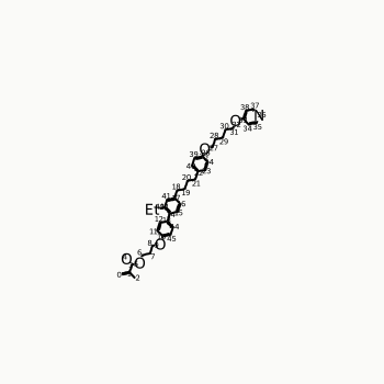 C=C(C)C(=O)OCCCOc1ccc(-c2ccc(CCCCc3ccc(OCCCCCOc4ccncc4)cc3)cc2CC)cc1